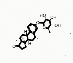 C[C@H]1OC(Oc2ccc3c(c2)CC[C@@H]2[C@@H]3CC[C@]3(C)C(=O)CC[C@@H]23)[C@H](O)[C@@H](O)[C@@H]1O